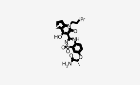 CC(C)CCn1c(=O)c(C2=NS(=O)(=O)c3cc(O[C@H](C)C(N)=O)ccc3N2)c(O)c2sccc21